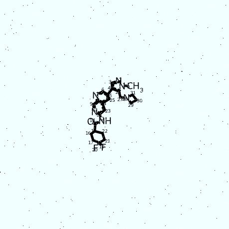 Cn1ncc(-c2cnc3cnc(NC(=O)C4CCC(F)(F)CC4)cc3c2)c1CN1CCC1